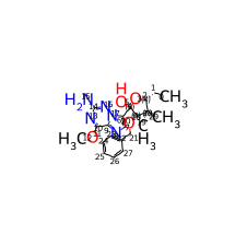 CC[C@H]1O[C@@](O)(c2cnc3c(OC)nc(N)nn23)[C@](C)(OCc2ccccc2)[C@@H]1C